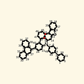 c1ccc(-c2ccc(N(c3ccc4c(c3)sc3ccccc34)c3ccc(-c4cc5ccccc5c5ccccc45)cc3-c3ccccc3)cc2)cc1